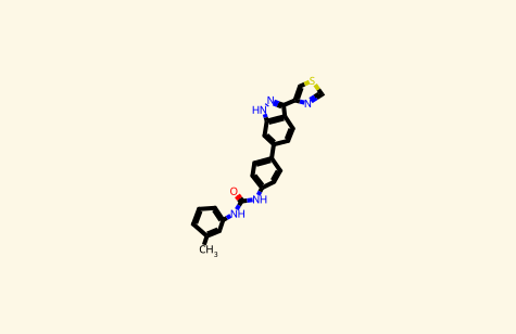 Cc1cccc(NC(=O)Nc2ccc(-c3ccc4c(-c5cscn5)n[nH]c4c3)cc2)c1